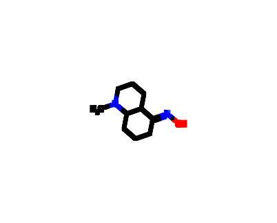 CN1CCCC2C(=NO)CCCC21